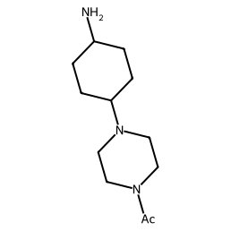 CC(=O)N1CCN(C2CCC(N)CC2)CC1